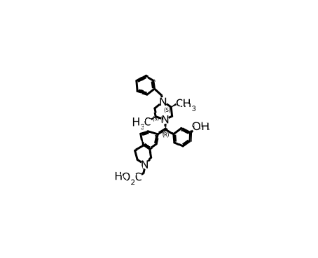 C[C@H]1CN([C@@H](c2cccc(O)c2)c2ccc3c(c2)CN(CC(=O)O)CC3)[C@@H](C)CN1Cc1ccccc1